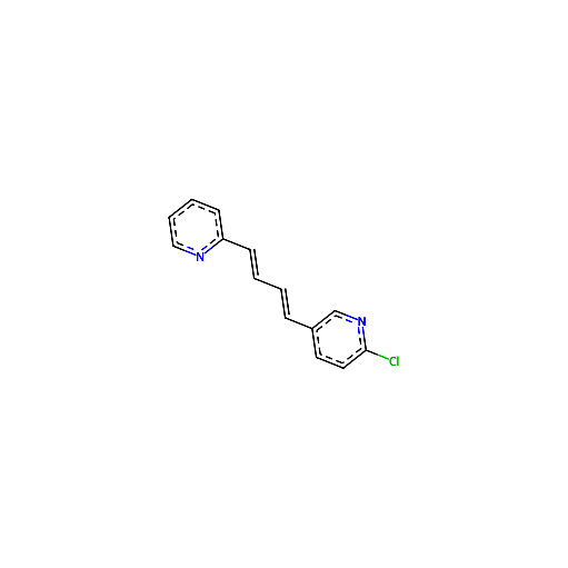 Clc1ccc(C=CC=Cc2ccccn2)cn1